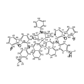 C[SiH](C)c1ccc(N(c2cc3c(c4ccccc24)-c2c(cc(N(c4ccc([Si](C)(C)C)cc4)c4cccc5c4oc4c(F)cccc45)c4ccccc24)C32c3ccccc3N(c3ccccc3)c3ccccc32)c2cccc3c2oc2c(F)cccc23)cc1